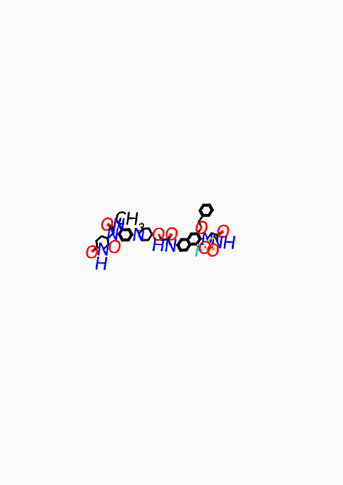 Cn1c(=O)n(C2CCC(=O)NC2=O)c2ccc(N3CCC(OCC(=O)Nc4ccc5c(F)c(N6CC(=O)NS6(=O)=O)c(OCc6ccccc6)cc5c4)CC3)cc21